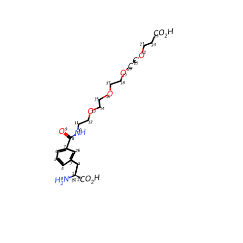 N[C@@H](Cc1cccc(C(=O)NCCOCCOCCOCCOCCC(=O)O)c1)C(=O)O